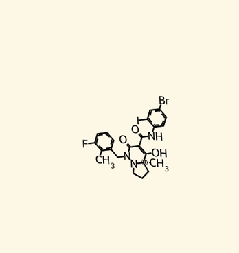 Cc1c(F)cccc1CN1C(=O)C(C(=O)Nc2ccc(Br)cc2I)=C(O)[C@@]2(C)CCCN12